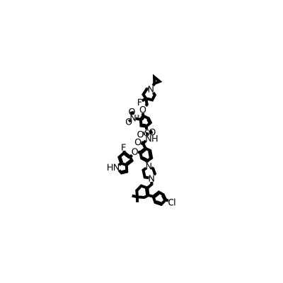 CC1(C)CCC(CN2CCN(c3ccc(C(=O)NS(=O)(=O)c4ccc(OCC5(F)CCN(C6CC6)CC5)c([N+](=O)[O-])c4)c(Oc4cc5cc[nH]c5cc4F)c3)CC2)=C(c2ccc(Cl)cc2)C1